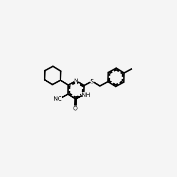 Cc1ccc(CSc2nc(C3CCCCC3)c(C#N)c(=O)[nH]2)cc1